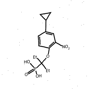 CCC(CC)(Oc1ccc(C2CC2)cc1[N+](=O)[O-])P(=O)(O)O